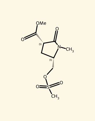 COC(=O)[C@H]1C[C@@H](COS(C)(=O)=O)N(C)C1=O